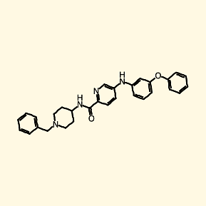 O=C(NC1CCN(Cc2ccccc2)CC1)c1ccc(Nc2cccc(Oc3ccccc3)c2)cn1